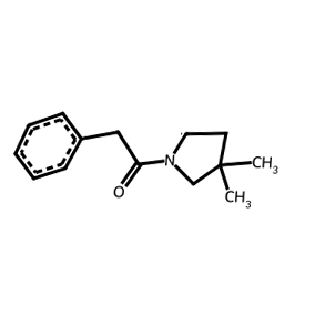 CC1(C)C[CH]N(C(=O)Cc2ccccc2)C1